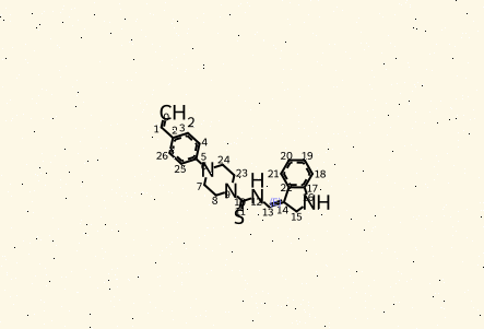 C=Cc1ccc(N2CCN(C(=S)N/C=C3/CNc4ccccc43)CC2)cc1